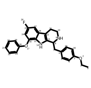 CCOc1ccc(CC2NCCc3c2[nH]c2c(Oc4ccccc4)cc(F)cc32)cc1